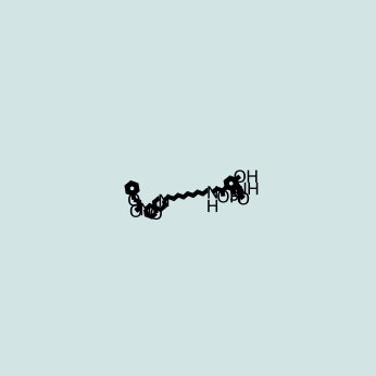 O=C(COc1ccccc1)N1CCOC2(CCN(CCCCCCCCCNCC(O)c3ccc(O)c4[nH]c(=O)sc34)CC2)C1